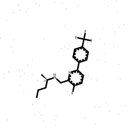 CCC[C@@H](C)NCc1nc(-c2ccc(C(F)(F)F)cc2)ccc1F